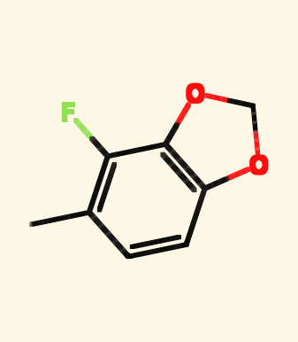 Cc1ccc2c(c1F)OCO2